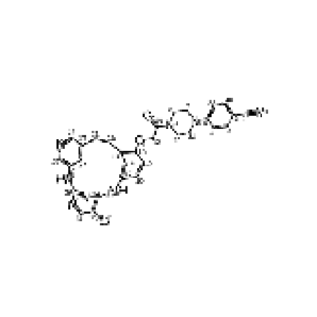 N#Cc1ccc(N2CCN(C(=O)COc3ccc4cc3CCc3cncc(c3)Nc3ncc(Cl)c(n3)N4)CC2)cc1